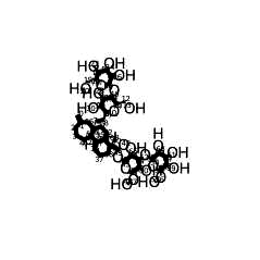 C=C1CCC[C@@H]2[C@](CC[C@@H]3O[C@H](CO)[C@@H](O[C@H]4O[C@H](CO)[C@@H](O)[C@H](O)[C@H]4O)[C@H](O)[C@H]3O)(CC[C@H]3[C@@]2(C)CCC[C@@]3(C)C(=O)O[C@@H]2O[C@H](OO)[C@@H](O)[C@H](O[C@H]3O[C@H](OO)[C@@H](O)[C@H](O)[C@H]3O)[C@H]2O)C1